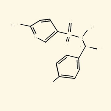 Cc1ccc(S(=O)(=O)N(C)[C@H](c2ccc(C(F)(F)F)cc2)C(F)(F)F)cn1